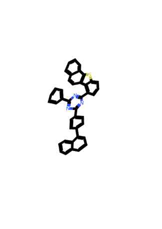 c1ccc(-c2nc(-c3ccc(-c4cccc5ccccc45)cc3)nc(-c3cccc4sc5c6ccccc6ccc5c34)n2)cc1